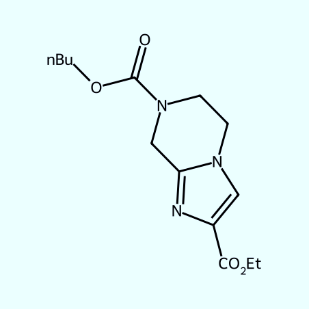 CCCCOC(=O)N1CCn2cc(C(=O)OCC)nc2C1